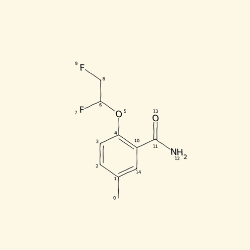 Cc1ccc(OC(F)CF)c(C(N)=O)c1